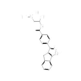 CC(CN(C)C)NC(=O)c1ccc(-c2n[nH]c3c2Cc2ccccc2-3)cc1